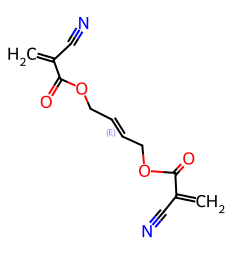 C=C(C#N)C(=O)OC/C=C/COC(=O)C(=C)C#N